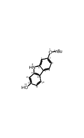 CCCCOc1ccc2c(c1)[nH]c1cc(O)ccc12